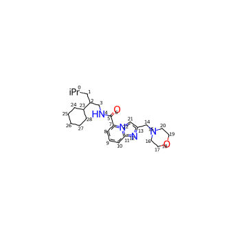 CC(C)CC(CNC(=O)c1cccc2nc(CN3CCOCC3)cn12)C1CCCCC1